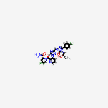 NC(=O)[C@H]1CC(F)(F)CN1C(=O)c1ncccc1-n1cnc(Cn2nc(-c3ccc(Cl)cc3)n(C[C@@H](O)C(F)(F)F)c2=O)n1